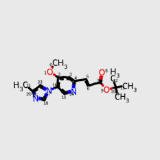 COc1cc(/C=C/C(=O)OC(C)(C)C)ncc1-n1cnc(C)c1